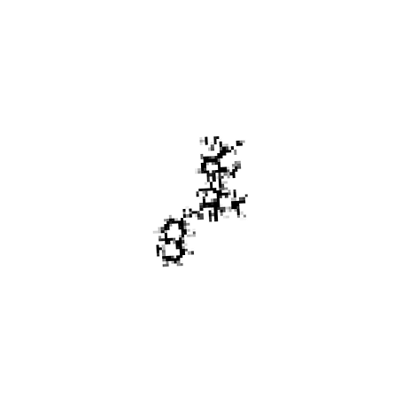 C=N/C(N)=C1/C=CN([C@@H]2O[C@H](COc3ccc4ncccc4c3)[C@H]3OC(C)(C)O[C@H]32)/C1=N/C